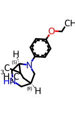 CCOc1ccc(N2C[C@H]3CNC[C@@H]2C(C)(C)C3)cc1